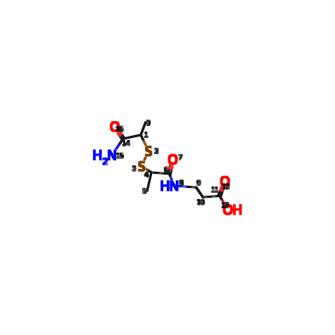 CC(SSC(C)C(=O)NCCC(=O)O)C(N)=O